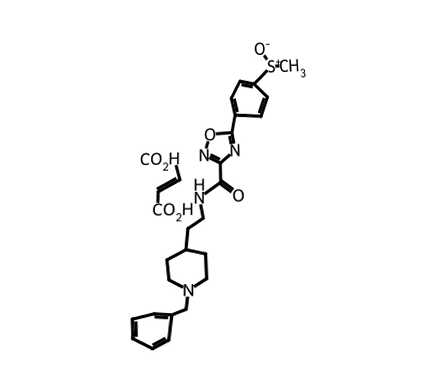 C[S+]([O-])c1ccc(-c2nc(C(=O)NCCC3CCN(Cc4ccccc4)CC3)no2)cc1.O=C(O)C=CC(=O)O